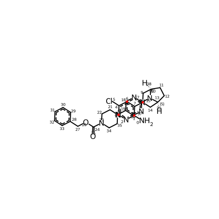 Nc1nnc(Cl)cc1N1C[C@H]2CC[C@@H](C1)N2c1ncc(N2CCN(C(=O)OCc3ccccc3)CC2)cn1